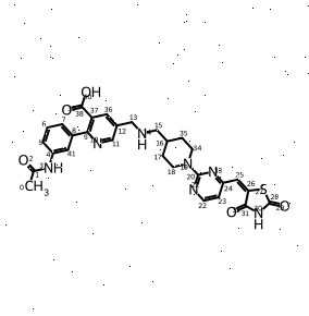 CC(=O)Nc1cccc(-c2ncc(CNCC3CCN(c4nccc(/C=C5/SC(=O)NC5=O)n4)CC3)cc2C(=O)O)c1